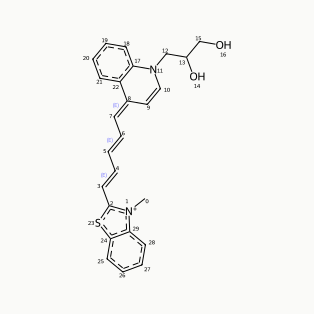 C[n+]1c(/C=C/C=C/C=C2\C=CN(CC(O)CO)c3ccccc32)sc2ccccc21